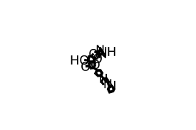 Cc1n[nH]c(C)c1Oc1c(O)cc(O)c2c(=O)cc(-c3ccc(N4CCN(c5ccccn5)CC4)cc3)oc12